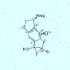 CN[C@@H]1COc2cc(C3(C)CC3(F)F)ccc21.Cl